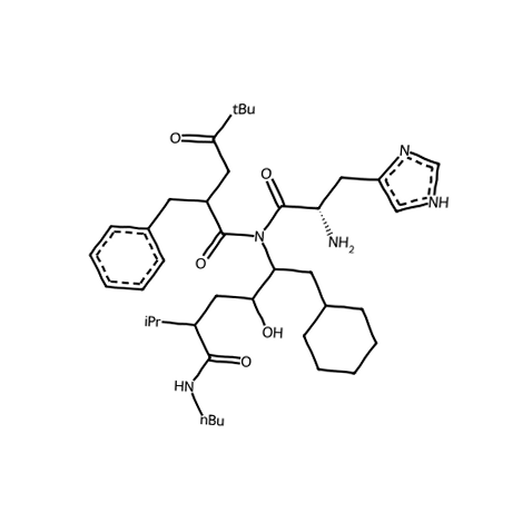 CCCCNC(=O)C(CC(O)C(CC1CCCCC1)N(C(=O)C(CC(=O)C(C)(C)C)Cc1ccccc1)C(=O)[C@@H](N)Cc1c[nH]cn1)C(C)C